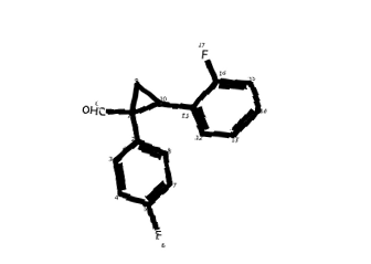 O=CC1(c2ccc(F)cc2)CC1c1ccccc1F